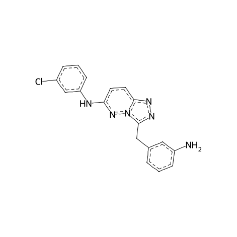 Nc1cccc(Cc2nnc3ccc(Nc4cccc(Cl)c4)nn23)c1